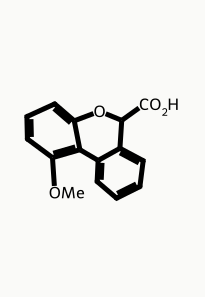 COc1cccc2c1-c1ccccc1C(C(=O)O)O2